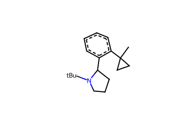 CC1(c2ccccc2C2CCCN2C(C)(C)C)CC1